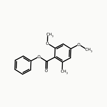 COc1cc(C)c(C(=O)Oc2ccccc2)c(OC)c1